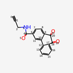 C#CCNC(=O)c1ccc2c(c1)-c1ccccc1C(=O)C2=O